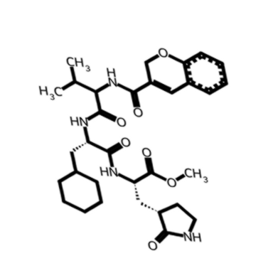 COC(=O)[C@H](C[C@@H]1CCNC1=O)NC(=O)[C@H](CC1CCCCC1)NC(=O)C(NC(=O)C1=Cc2ccccc2OC1)C(C)C